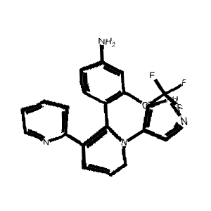 Nc1ccc(C2=C(c3ccccn3)C=CCN2c2cn[nH]c2)c(OC(F)(F)F)c1